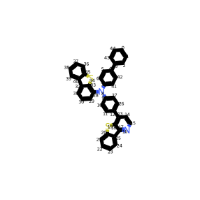 c1ccc(-c2ccc(N(c3ccc(-c4ccnc5c4sc4ccccc45)cc3)c3cccc4c3sc3ccccc34)cc2)cc1